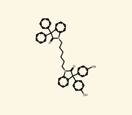 O=C1N(CCCCCCN2C(=O)C(c3ccc(O)cc3)(c3ccc(O)cc3)c3ccccc32)c2ccccc2C1(c1ccccc1)c1ccccc1